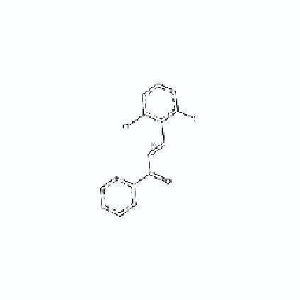 O=C(/C=C/c1c(Cl)cccc1Cl)c1ccccc1